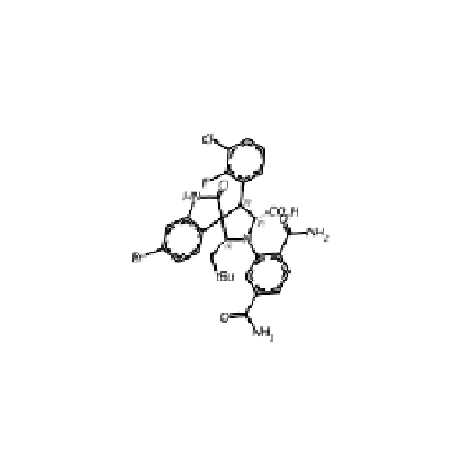 CC(C)(C)C[C@@H]1N(c2cc(C(N)=O)ccc2C(N)=O)[C@@H](C(=O)O)[C@H](c2cccc(Cl)c2F)C12C(=O)Nc1cc(Br)ccc12